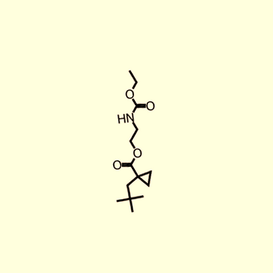 CCOC(=O)NCCOC(=O)C1(CC(C)(C)C)CC1